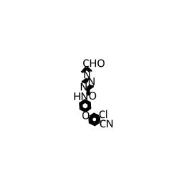 N#Cc1ccc(O[C@H]2CC[C@H](NC(=O)c3cnc(N4CC(C=O)C4)cn3)CC2)cc1Cl